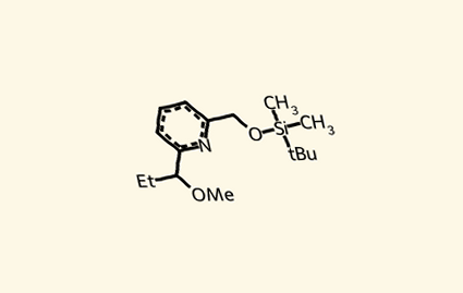 CCC(OC)c1cccc(CO[Si](C)(C)C(C)(C)C)n1